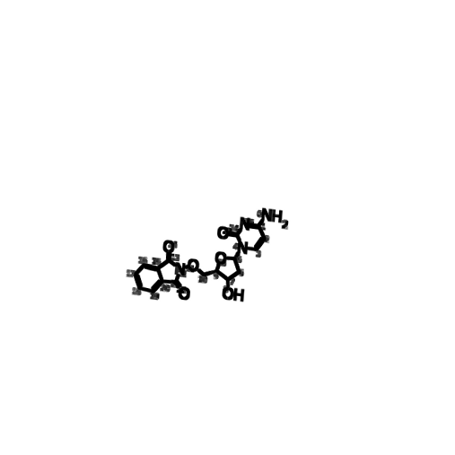 Nc1ccn([C@H]2CC(O)[C@@H](CON3C(=O)c4ccccc4C3=O)O2)c(=O)n1